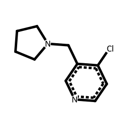 Clc1ccncc1CN1CCCC1